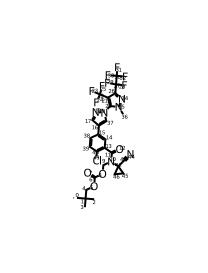 [CH2]C(C)(C)COC(=O)OCN(C(=O)c1cc(-c2cnn(-c3c(C(F)(F)F)c(C(F)(F)C(F)(F)F)nn3C)c2)ccc1Cl)C1(C#N)CC1